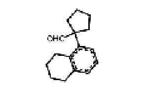 O=CC1(c2cccc3c2CCCC3)CCCC1